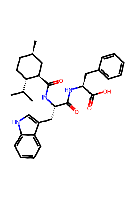 CC(C)[C@@H]1CC[C@@H](C)C[C@H]1C(=O)N[C@@H](Cc1c[nH]c2ccccc12)C(=O)N[C@@H](Cc1ccccc1)C(=O)O